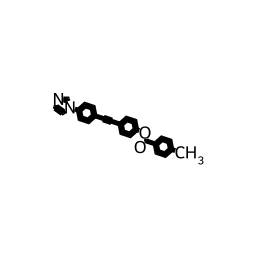 Cc1ccc(C(=O)Oc2ccc(C#Cc3ccc(-n4c#cnc4)cc3)cc2)cc1